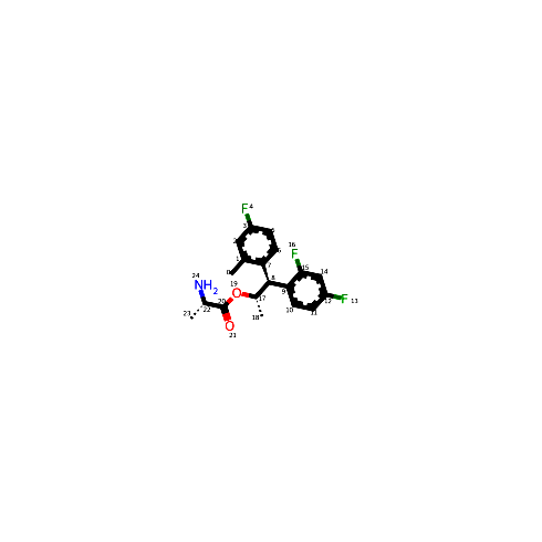 Cc1cc(F)ccc1[C@@H](c1ccc(F)cc1F)[C@H](C)OC(=O)[C@H](C)N